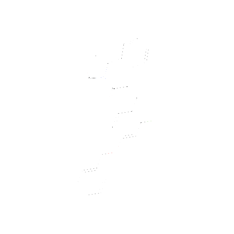 O=C(/C=C\c1ccc(OCc2ccccc2)cc1F)N1C(=O)OCC1c1ccccc1